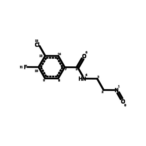 O=NCCNC(=O)c1ccc(F)c(Cl)c1